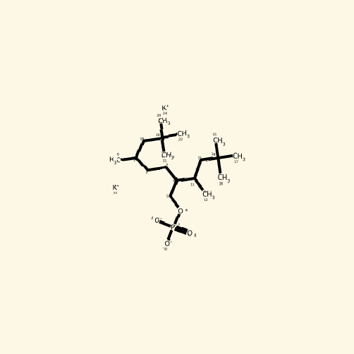 CC(CCC(COP(=O)([O-])[O-])C(C)CC(C)(C)C)CC(C)(C)C.[K+].[K+]